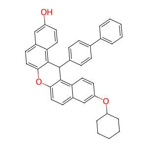 Oc1ccc2c3c(ccc2c1)Oc1ccc2cc(OC4CCCCC4)ccc2c1C3c1ccc(-c2ccccc2)cc1